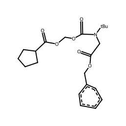 CC(C)(C)N(CC(=O)OCc1ccccc1)C(=O)OCOC(=O)C1CCCC1